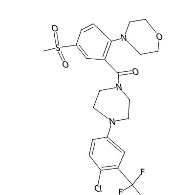 CS(=O)(=O)c1ccc(N2CCOCC2)c(C(=O)N2CCN(c3ccc(Cl)c(C(F)(F)F)c3)CC2)c1